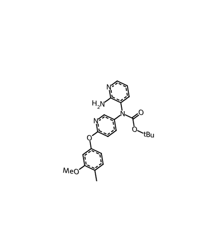 COc1cc(Oc2ccc(N(C(=O)OC(C)(C)C)c3cccnc3N)cn2)ccc1C